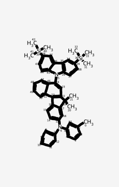 Cc1cccc(N(c2ccccc2)c2ccc3c(c2)C(C)(C)c2cc(-n4c5ccc([Si](C)(C)C)cc5c5cc([Si](C)(C)C)ccc54)c4ccccc4c2-3)c1